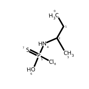 CCC(C)NP(O)(=S)Cl